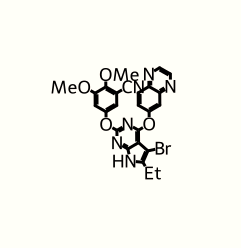 CCc1[nH]c2nc(Oc3cc(C#N)c(OC)c(OC)c3)nc(Oc3ccc4nccnc4c3)c2c1Br